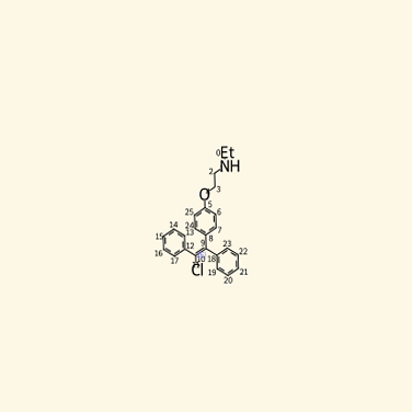 CCNCCOc1ccc(/C(=C(/Cl)c2ccccc2)c2ccccc2)cc1